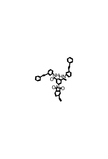 C#Cc1ccc2c(c1)C(=O)N(c1cc(C(=C)Nc3cccc(C#Cc4ccccc4)c3)cc(C(=O)Nc3cccc(C#Cc4ccccc4)c3)c1)C2=O